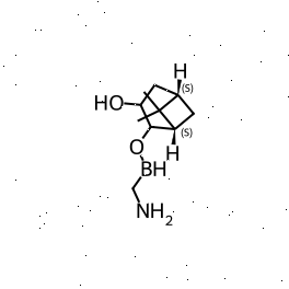 CC1(C)[C@@H]2CC(O)C(OBCN)[C@H]1C2